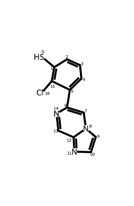 Sc1cccc(-c2cn3ccnc3cn2)c1Cl